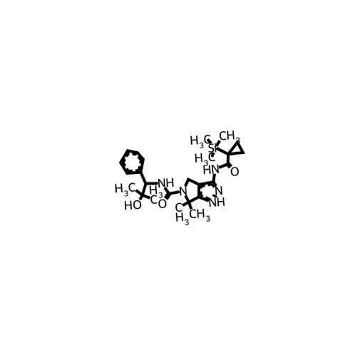 CC(C)(O)C(NC(=O)N1Cc2c(NC(=O)C3([Si](C)(C)C)CC3)n[nH]c2C1(C)C)c1ccccc1